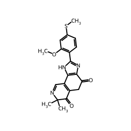 COc1cc(SC)ccc1-c1nc2c([nH]1)C1=C(CC2=O)C(=O)C(C)(C)N=C1